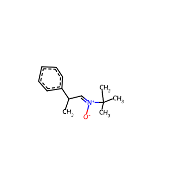 CC(C=[N+]([O-])C(C)(C)C)c1ccccc1